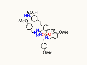 COc1ccc(CN(Cc2ccc(OC)cc2)S(=O)(=O)c2c(C(F)(F)F)ccc(CCC3CCC(NC(=O)O)CC3)c2-c2nnn(Cc3ccc(OC)cc3)n2)cc1